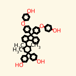 CC1CC(c2ccc(O)cc2)(c2ccc(O)cc2)CC(C)(C)C1c1cccc2c1-c1ccccc1C2(c1ccc(Oc2ccc(O)cc2)cc1)c1ccc(Oc2ccc(O)cc2)cc1